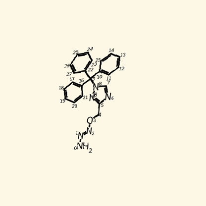 NN=NOCc1ncn(C(c2ccccc2)(c2ccccc2)c2ccccc2)n1